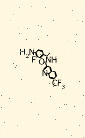 C[C@@H](NC(=O)c1cnc2cc(C(F)(F)F)ccc2c1)c1ccc(N)c(F)c1